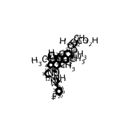 C=C(C)[C@@H]1CC[C@]2(C(=O)N3CCC[C@H]3c3nc(-c4cccc(F)c4)c[nH]3)CC[C@]3(C)[C@H](CCC4[C@@]5(C)CC[C@H](OC(=O)CC(C)(C)C(=O)O)C(C)(C)C5CC[C@]43C)C12